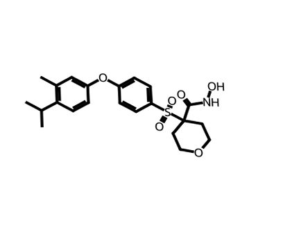 Cc1cc(Oc2ccc(S(=O)(=O)C3(C(=O)NO)CCOCC3)cc2)ccc1C(C)C